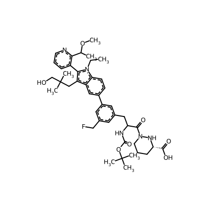 CCn1c(-c2cccnc2C(C)OC)c(CC(C)(C)CO)c2cc(-c3cc(CF)cc(CC(NC(=O)OC(C)(C)C)C(=O)N4CCC[C@@H](C(=O)O)N4)c3)ccc21